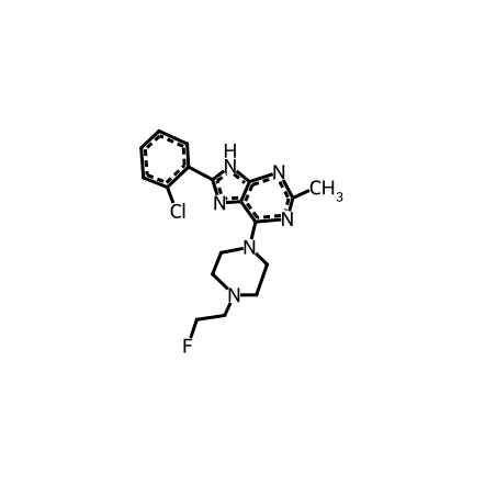 Cc1nc(N2CCN(CCF)CC2)c2nc(-c3ccccc3Cl)[nH]c2n1